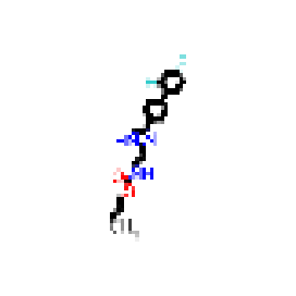 CCCCOC(=O)NCCc1nc(-c2ccc(-c3ccc(F)cc3F)cc2)c[nH]1